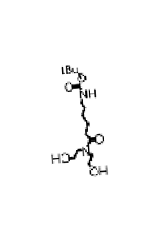 CC(C)(C)OC(=O)NCCCCCC(=O)N(CCO)CCO